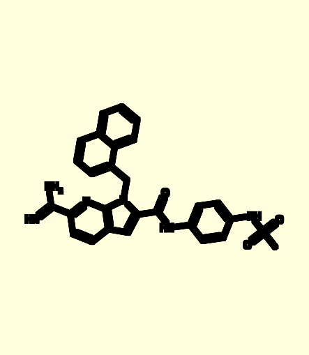 CS(=O)(=O)Nc1ccc(NC(=O)c2cc3ccc(C(=N)N)nc3n2Cc2cccc3ccccc23)cc1